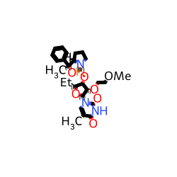 CC[C@H]1O[C@@H](n2cc(C)c(=O)[nH]c2=O)[C@@H](OCCOC)C1O[P@@]1O[C@](C)(c2ccccc2)[C@@H]2CCCN21